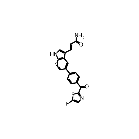 NC(=O)/C=C/c1c[nH]c2ncc(-c3ccc(C(=O)c4ncc(F)s4)cc3)cc12